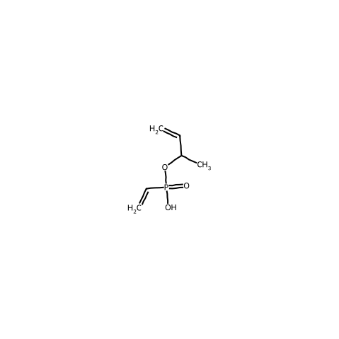 C=CC(C)OP(=O)(O)C=C